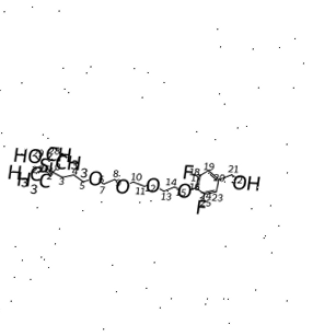 CC(C)(CCCOCCOCCOCCOc1c(F)cc(CO)cc1F)[Si](C)(C)O